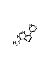 Nc1ncnc2c(-c3cncnc3)cccc12